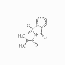 CN(C)C(=O)N1C(=O)c2ccccc2S1(=O)=O